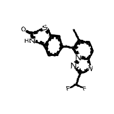 Cc1ccc2nc(C(F)F)nn2c1-c1ccc2[nH]c(=O)sc2c1